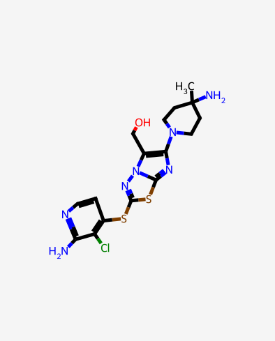 CC1(N)CCN(c2nc3sc(Sc4ccnc(N)c4Cl)nn3c2CO)CC1